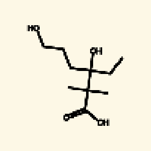 CCC(O)(CCCO)C(C)(C)C(=O)O